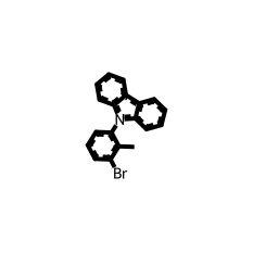 Cc1c(Br)cccc1-n1c2ccccc2c2ccccc21